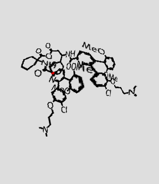 COc1cccc(OC)c1-c1ccc(C(=O)NC(CC(=O)OC(=O)C2(NC(=O)c3ccc(-c4c(OC)cccc4OC)c(-c4ccc(Cl)c(OCCCN(C)C)c4)n3)CCCCC2)C2CCCCC2)nc1-c1ccc(Cl)c(OCCCN(C)C)c1